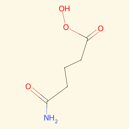 NC(=O)CCCC(=O)OO